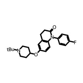 CC(C)(C)N1CCC(Oc2ccc3c(c2)CCC(=O)N3c2ccc(F)cc2)CC1